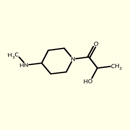 CNC1CCN(C(=O)C(C)O)CC1